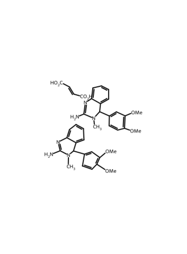 COc1ccc(C2c3ccccc3N=C(N)N2C)cc1OC.COc1ccc(C2c3ccccc3N=C(N)N2C)cc1OC.O=C(O)C=CC(=O)O